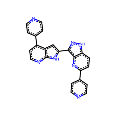 c1cc(-c2ccc3[nH]nc(-c4cc5c(-c6ccncc6)ccnc5[nH]4)c3n2)ccn1